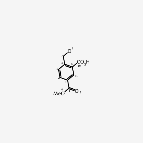 COC(=O)c1ccc(C[O])c(C(=O)O)c1